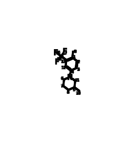 Cc1ccc(N2CCCC(C)C2)cc1C(F)(F)F